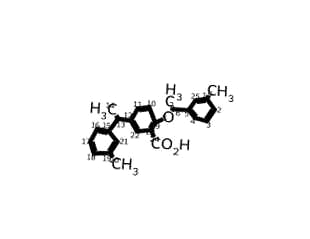 Cc1cccc(C(C)Oc2ccc(C(C)c3cccc(C)c3)cc2C(=O)O)c1